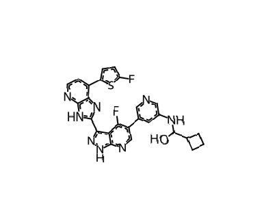 OC(Nc1cncc(-c2cnc3[nH]nc(-c4nc5c(-c6ccc(F)s6)ccnc5[nH]4)c3c2F)c1)C1CCC1